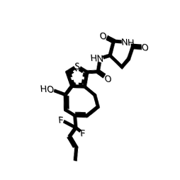 C/C=C/C(F)(F)C1=C/CCc2c(csc2C(=O)NC2CCC(=O)NC2=O)/C(O)=C\1